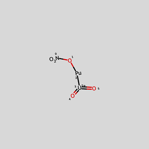 O=[N+]([O-])[O][Pu][U+2](=[O])=[O]